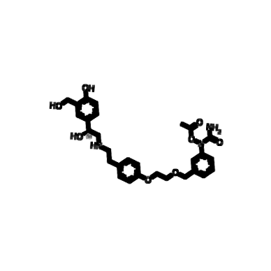 CC(=O)ON(C(N)=O)c1cccc(COCCOc2ccc(CCNC[C@@H](O)c3ccc(O)c(CO)c3)cc2)c1